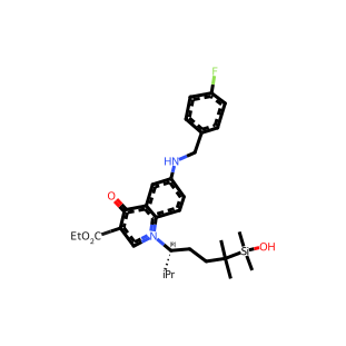 CCOC(=O)c1cn([C@H](CCC(C)(C)[Si](C)(C)O)C(C)C)c2ccc(NCc3ccc(F)cc3)cc2c1=O